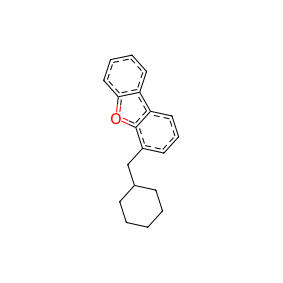 c1ccc2c(c1)oc1c(CC3CCCCC3)cccc12